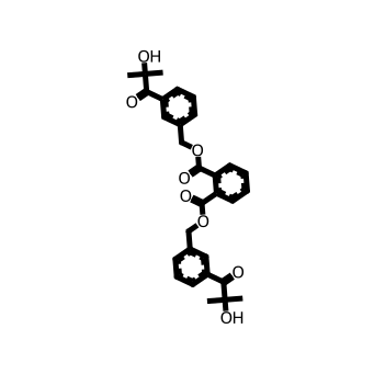 CC(C)(O)C(=O)c1cccc(COC(=O)c2ccccc2C(=O)OCc2cccc(C(=O)C(C)(C)O)c2)c1